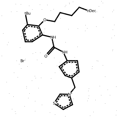 CCCCCCCCCCCCCCOc1c(NC(=O)Nc2ccc(C[n+]3ccsc3)cc2)cccc1C(C)(C)C.[Br-]